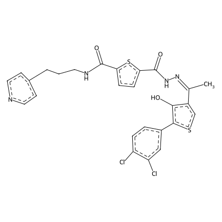 CC(=NNC(=O)c1ccc(C(=O)NCCCc2ccncc2)s1)c1csc(-c2ccc(Cl)c(Cl)c2)c1O